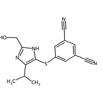 CC(C)c1nc(CO)[nH]c1Sc1cc(C#N)cc(C#N)c1